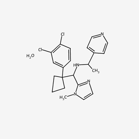 CC(NC(c1nccn1C)C1(c2ccc(Cl)c(Cl)c2)CCC1)c1ccncc1.O